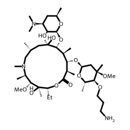 CC[C@H]1OC(=O)[C@H](C)[C@@H](O[C@H]2C[C@@](C)(OC)[C@@H](OCCCN)[C@H](C)O2)[C@H](C)[C@@H](O[C@@H]2O[C@H](C)C[C@H](N(C)C)[C@H]2O)[C@](C)(O)C[C@@H](C)CN(C)[C@H](C)[C@@H](OC)[C@]1(C)O